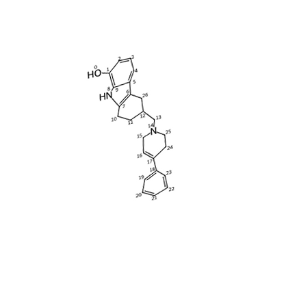 Oc1cccc2c3c([nH]c12)CCC(CN1CC=C(c2ccccc2)CC1)C3